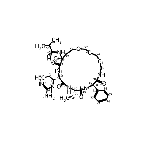 CCC(NC(=N)N)[C@@H]1NC(=O)[C@](C)(NC(=O)C(C)C)CCCCCCCCNC(=O)[C@@H](c2ccccc2)NC(=O)[C@H](CC)NC1=O